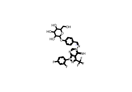 N=c1c2c(C(F)(F)F)nn(-c3ccc(F)cc3F)c2ncn1/N=C\c1ccc(OC2OC(CO)C(O)C(O)C2O)cc1